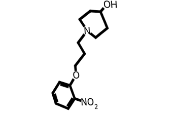 O=[N+]([O-])c1ccccc1OCCCN1CCC(O)CC1